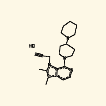 C#CCn1c(C)c(C)c2ccnc(N3CCC(N4CCCCC4)CC3)c21.Cl